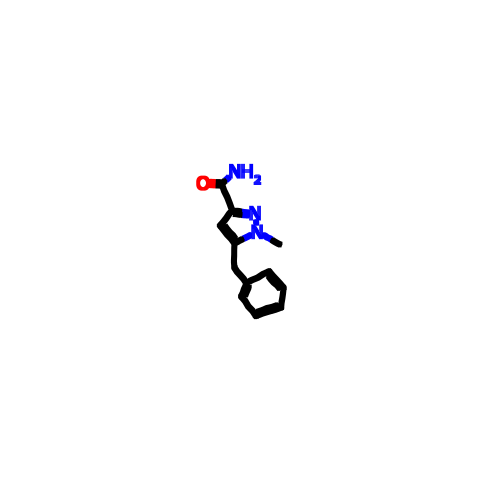 Cn1nc(C(N)=O)cc1Cc1ccccc1